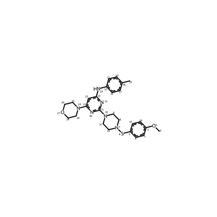 COc1ccc(SN2CCN(c3nc(Nc4ccc(C)cc4)cc(N4CCOCC4)n3)CC2)cc1